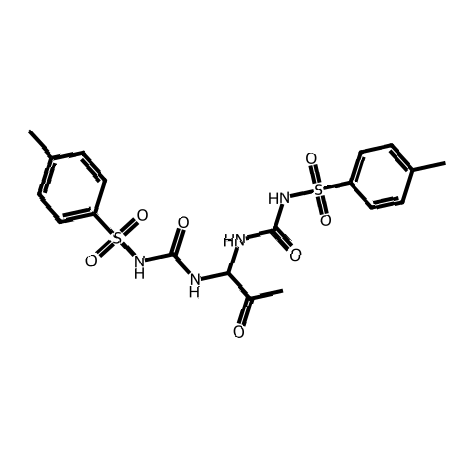 CC(=O)C(NC(=O)NS(=O)(=O)c1ccc(C)cc1)NC(=O)NS(=O)(=O)c1ccc(C)cc1